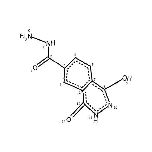 NNC(=O)c1ccc2c(O)n[nH]c(=O)c2c1